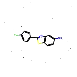 Nc1ccc2sc(-c3ccc(Cl)cc3)nc2c1